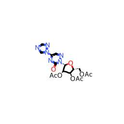 CC(=O)OC[C@H]1O[C@@H](n2ncc(-n3cncn3)nc2=O)[C@H](OC(C)=O)[C@@H]1OC(C)=O